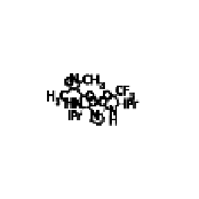 Cc1noc(C)c1C(=O)N[C@H](C(=O)N1CCC[C@H]1C(=O)N[C@H](C(=O)C(F)(F)F)C(C)C)C(C)C